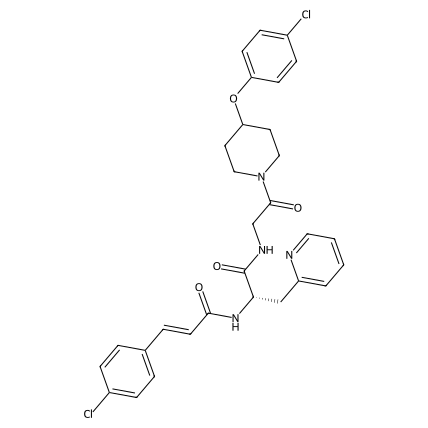 O=C(C=Cc1ccc(Cl)cc1)N[C@@H](Cc1ccccn1)C(=O)NCC(=O)N1CCC(Oc2ccc(Cl)cc2)CC1